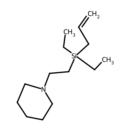 C=CC[Si](CC)(CC)CCN1CCCCC1